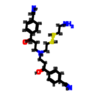 N#Cc1ccc(C(=O)CCN(CCSSCCN)CCC(=O)c2ccc(C#N)cc2)cc1